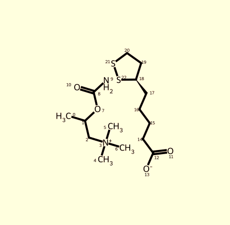 CC(C[N+](C)(C)C)OC(N)=O.O=C([O-])CCCC[C@@H]1CCSS1